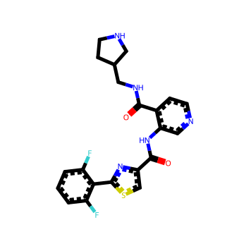 O=C(Nc1cnccc1C(=O)NCC1CCNC1)c1csc(-c2c(F)cccc2F)n1